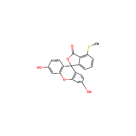 N#CSc1cccc2c1C(=O)OC21c2ccc(O)cc2Oc2cc(O)ccc21